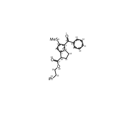 CSc1cc2n(c1C(=O)c1ccccc1)CCC2C(=O)OCCC(C)C